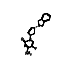 Nc1nc(=O)n([C@H]2C=C[C@H](N3Cc4ccccc4C3)C2)cc1F